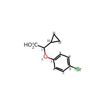 O=C(O)C(Oc1ccc(Br)cc1)C1CC1